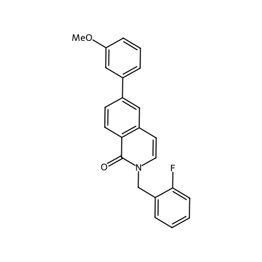 COc1cccc(-c2ccc3c(=O)n(Cc4ccccc4F)ccc3c2)c1